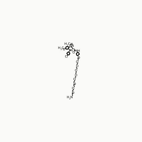 COc1ccc2c(c1)C(c1ccc(Cl)cc1)=N[C@H](CC(=O)Nc1ccc(OCCOCCOCCOCCOCCOCCOCCOCCOCCN)cc1)c1nnc(C)n1-2